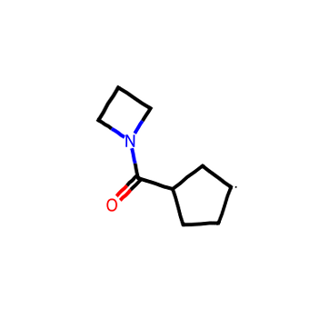 O=C(C1C[CH]CC1)N1CCC1